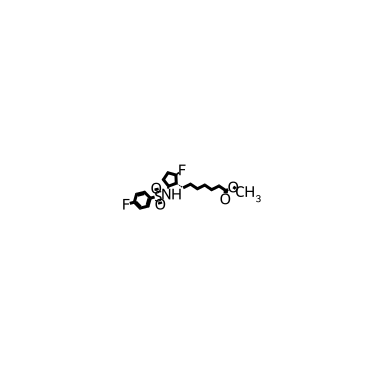 COC(=O)CCCCCC[C@H]1[C@H](F)CC[C@@H]1NS(=O)(=O)c1ccc(F)cc1